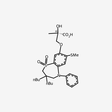 CCCCC1(CCCC)CN(c2ccccc2)c2cc(SC)c(OC[C@@](C)(O)C(=O)O)cc2S(=O)(=O)C1